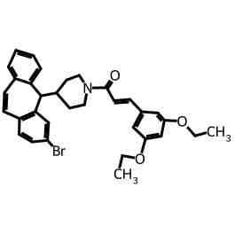 CCOc1cc(C=CC(=O)N2CCC(C3c4ccccc4C=Cc4ccc(Br)cc43)CC2)cc(OCC)c1